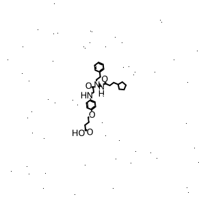 O=C(O)CCCOc1ccc(NCC(=O)N(CCc2ccccc2)NC(=O)CCC2CCCC2)cc1